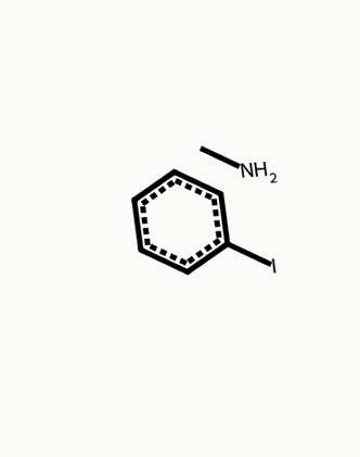 CN.Ic1ccccc1